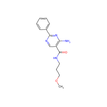 COCCCNC(=O)c1cnc(-c2ccccc2)nc1N